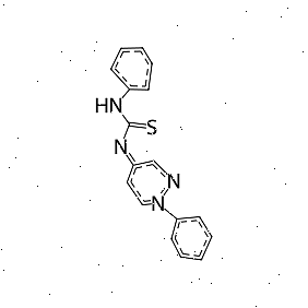 S=C(N=c1ccn(-c2ccccc2)nc1)Nc1ccccc1